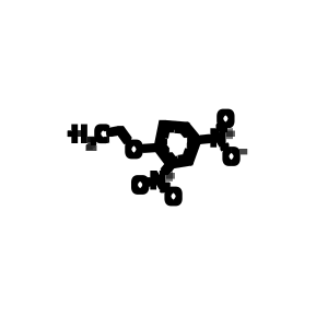 [CH2]COc1ccc([N+](=O)[O-])cc1[N+](=O)[O-]